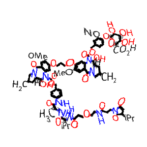 C=C1C[C@H]2[C@H](O)N(C(=O)OCc3ccc(NC(=O)[C@H](C)NC(=O)[C@@H](NC(=O)CCOCCNC(=O)CCN4C(=O)CC(C(C)C)C4=O)C(C)C)cc3)c3cc(OCCCOc4cc5c(cc4OC)C(=O)N4CC(=C)C[C@H]4[C@H](O)N5C(=O)OCc4ccc(O[C@@H]5O[C@H](C(=O)O)C(O)[C@H](O)C5O)c(N=O)c4)c(OC)cc3C(=O)N2C1